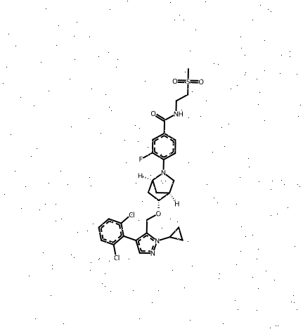 CS(=O)(=O)CCNC(=O)c1ccc(N2C[C@@H]3C[C@H]2C[C@H]3OCc2c(-c3c(Cl)cccc3Cl)cnn2C2CC2)c(F)c1